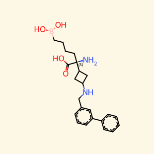 N[C@](CCCCB(O)O)(C(=O)O)C1CC(NCc2cccc(-c3ccccc3)c2)C1